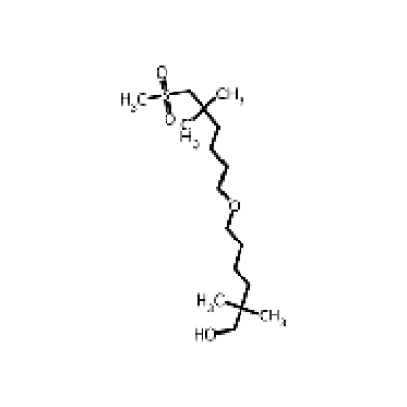 CC(C)(CO)CCCCOCCCCC(C)(C)CS(C)(=O)=O